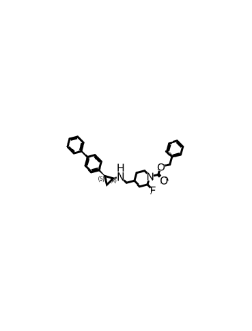 O=C(OCc1ccccc1)N1CCC(CN[C@@H]2C[C@H]2c2ccc(-c3ccccc3)cc2)CC1F